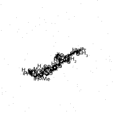 CC[C@@H](C)[C@@H]([C@@H](CC(=O)N1CCC[C@H]1[C@H](OC)[C@@H](C)C(=O)NS(=O)(=O)Cc1ccc(NC(=O)[C@H](CCCNC(N)=O)N[C@H](COCCOCCOCCC(=O)NC(C)C(C)C)N2C(=O)C=CC2=O)cc1)OC)N(C)C[C@@H](NC[C@H](C(C)C)N(C)C)C(C)C